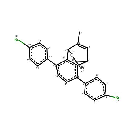 CC1=CC2c3c(-c4ccc(Br)cc4)ccc(-c4ccc(Br)cc4)c3C1CC2C(C)C